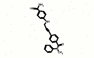 CN(C(=O)c1ccc(C#CCNc2ccc(C(=N)N)cc2)cc1)c1ccccc1